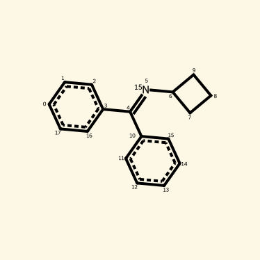 c1ccc(C(=[15N]C2CCC2)c2ccccc2)cc1